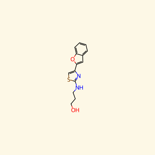 OCCCNc1nc(-c2cc3ccccc3o2)cs1